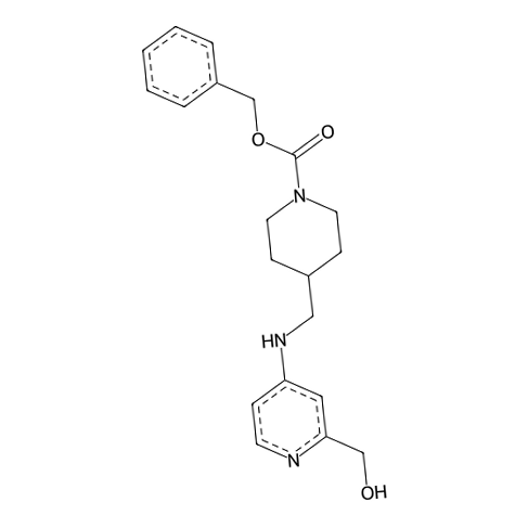 O=C(OCc1ccccc1)N1CCC(CNc2ccnc(CO)c2)CC1